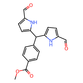 COC(=O)c1ccc(C(c2ccc(C=O)[nH]2)c2ccc(C=O)[nH]2)cc1